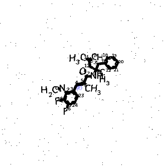 C=Nc1c(/C=C(\C)C(=O)NC(C)(CC(=C)C)Cc2ccccc2)ccc(F)c1F